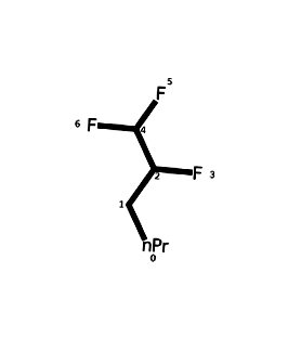 CCCCC(F)[C](F)F